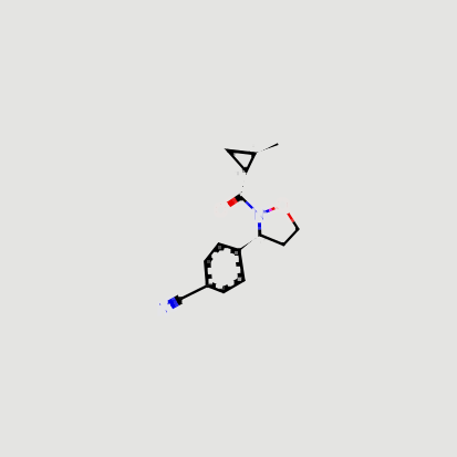 C[C@@H]1C[C@H]1C(=O)N1OCC[C@H]1c1ccc(C#N)cc1